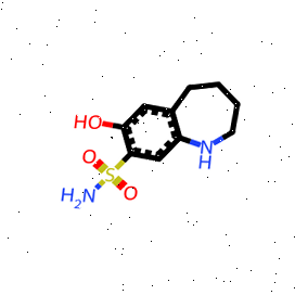 NS(=O)(=O)c1cc2c(cc1O)CCCCN2